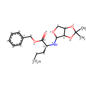 CC1(C)OC2COC(N[C@@H](CCC(=O)O)C(=O)OCc3ccccc3)C2O1